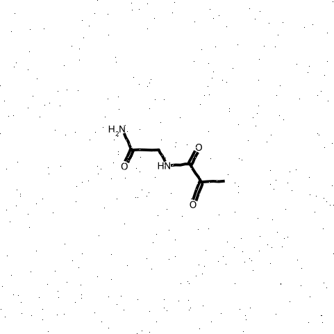 CC(=O)C(=O)NCC(N)=O